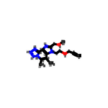 C#CCOCCn1c(COCC)nc2c1c(C)c(C)n1nnnc21